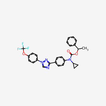 CC(OC(=O)N(c1ccc(-c2ncn(-c3ccc(OC(F)(F)F)cc3)n2)cc1)C1CC1)c1ccccc1